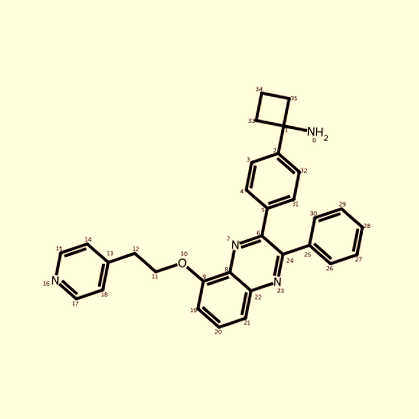 NC1(c2ccc(-c3nc4c(OCCc5ccncc5)cccc4nc3-c3ccccc3)cc2)CCC1